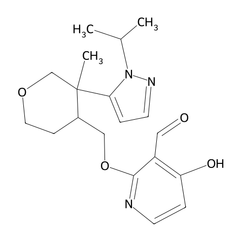 CC(C)n1nccc1C1(C)COCCC1COc1nccc(O)c1C=O